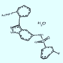 CC(=O)Nc1ccccc1-c1n[nH]c2ccc(NS(=O)(=O)c3cccc(F)c3)cc12.O